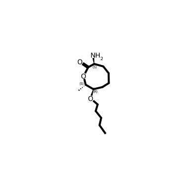 CCCCCO[C@@H]1CCCC[C@H](N)C(=O)O[C@H]1C